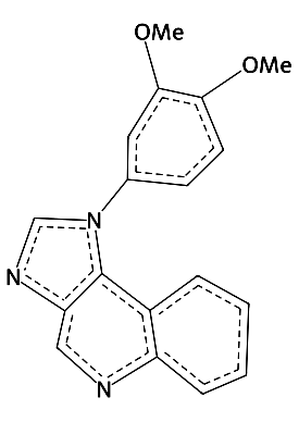 COc1ccc(-n2cnc3cnc4ccccc4c32)cc1OC